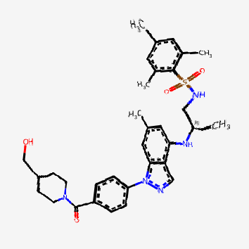 Cc1cc(C)c(S(=O)(=O)NC[C@@H](C)Nc2cc(C)cc3c2cnn3-c2ccc(C(=O)N3CCC(CO)CC3)cc2)c(C)c1